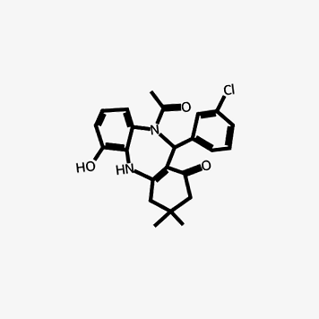 CC(=O)N1c2cccc(O)c2NC2=C(C(=O)CC(C)(C)C2)C1c1cccc(Cl)c1